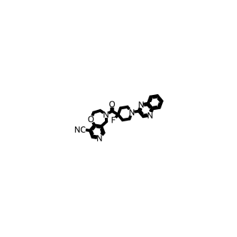 N#Cc1cncc2c1OCCN(C(=O)C1(F)CCN(c3cnc4ccccc4n3)CC1)C2